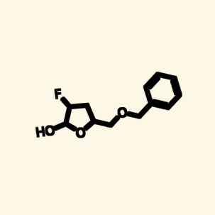 OC1OC(COCc2ccccc2)CC1F